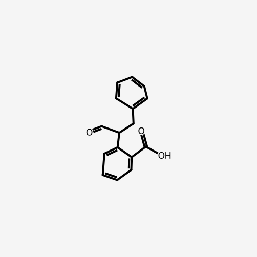 O=CC(Cc1ccccc1)c1ccccc1C(=O)O